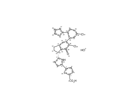 Cl.O=C(O)c1ccc(-c2cnc([C@@H]3CCc4cc(-c5cc(Cl)ccc5-n5cnnn5)c(Cl)c(=O)n43)[nH]2)s1